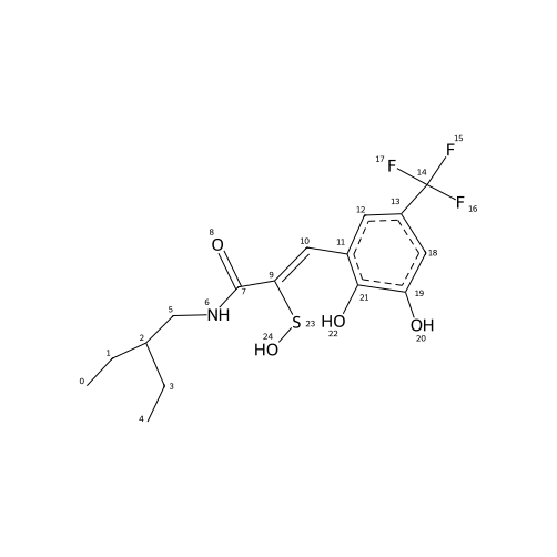 CCC(CC)CNC(=O)/C(=C/c1cc(C(F)(F)F)cc(O)c1O)SO